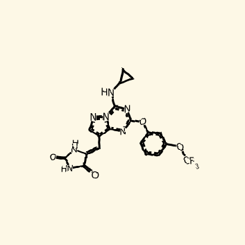 O=C1NC(=O)/C(=C/c2cnn3c(NC4CC4)nc(Oc4cccc(OC(F)(F)F)c4)nc23)N1